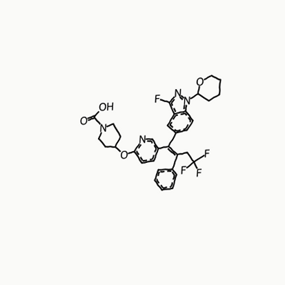 O=C(O)N1CCC(Oc2ccc(/C(=C(/CC(F)(F)F)c3ccccc3)c3ccc4c(c3)c(F)nn4C3CCCCO3)cn2)CC1